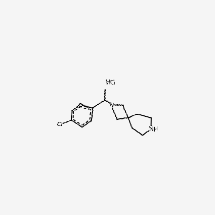 CC(c1ccc(Cl)cc1)N1CC2(CCNCC2)C1.Cl